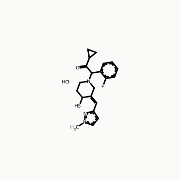 Cl.Cn1ccc(C=C2CN(C(C(=O)C3CC3)c3ccccc3F)CCC2S)n1